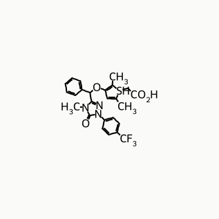 CC1=CC(OC(c2ccccc2)c2nn(-c3ccc(C(F)(F)F)cc3)c(=O)n2C)=C(C)[SH]1CC(=O)O